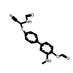 CNc1cc(-c2ccc(CC(C#N)NC=O)cc2)ccc1OC=O